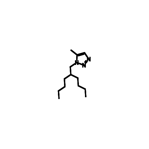 CCCCC(CCCC)Cn1nncc1C